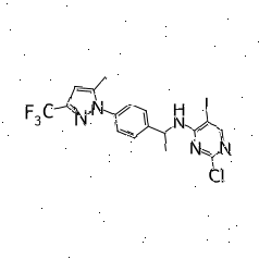 Cc1cc(C(F)(F)F)nn1-c1ccc(C(C)Nc2nc(Cl)ncc2I)cc1